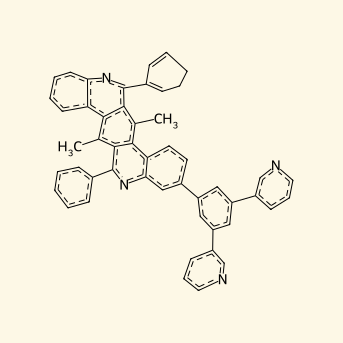 Cc1c2c(-c3ccccc3)nc3cc(-c4cc(-c5cccnc5)cc(-c5cccnc5)c4)ccc3c2c(C)c2c(C3=CCCC=C3)nc3ccccc3c12